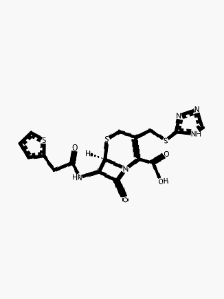 O=C(Cc1cccs1)NC1C(=O)N2C(C(=O)O)=C(CSc3nnc[nH]3)CS[C@H]12